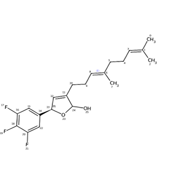 CC(C)=CCC/C(C)=C/CCC1=C[C@H](c2cc(F)c(F)c(F)c2)OC1O